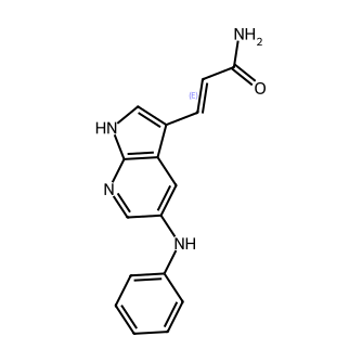 NC(=O)/C=C/c1c[nH]c2ncc(Nc3ccccc3)cc12